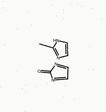 Cc1ncc[nH]1.O=C1N=CC=N1